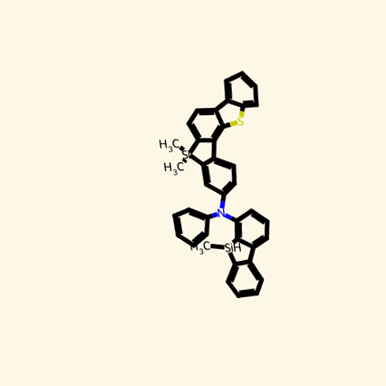 C[SiH]1c2ccccc2-c2cccc(N(c3ccccc3)c3ccc4c(c3)[Si](C)(C)c3ccc5c(sc6ccccc65)c3-4)c21